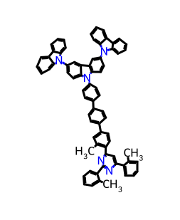 Cc1ccccc1-c1cc(-c2ccc(-c3ccc(-c4ccc(-n5c6ccc(-n7c8ccccc8c8ccccc87)cc6c6cc(-n7c8ccccc8c8ccccc87)ccc65)cc4)cc3)cc2C)nc(-c2ccccc2C)n1